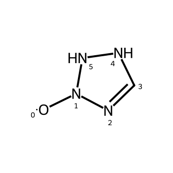 [O]N1N=CNN1